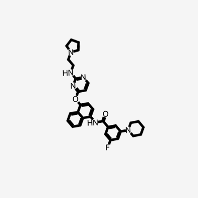 O=C(Nc1ccc(Oc2ccnc(NCCN3CCCC3)n2)c2ccccc12)c1cc(F)cc(N2CCCCC2)c1